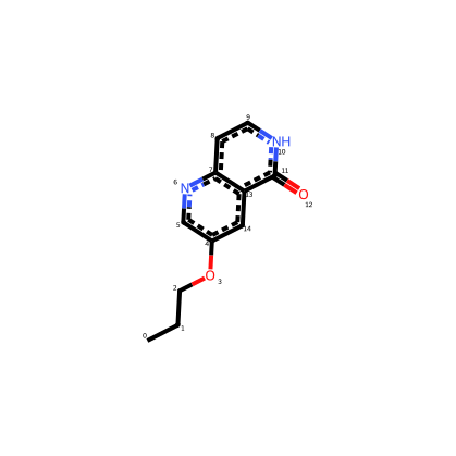 CCCOc1cnc2cc[nH]c(=O)c2c1